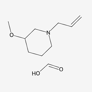 C=CCN1CCCC(OC)C1.O=CO